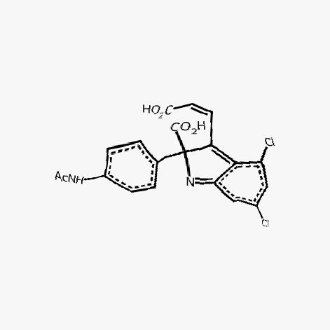 CC(=O)Nc1ccc(C2(C(=O)O)N=c3cc(Cl)cc(Cl)c3=C2/C=C\C(=O)O)cc1